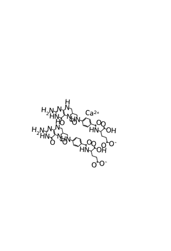 Nc1nc2c(c(=O)[nH]1)N(C=O)C(CNc1ccc(C(=O)NC(CCC(=O)[O-])C(=O)O)cc1)CN2.Nc1nc2c(c(=O)[nH]1)N(C=O)C(CNc1ccc(C(=O)NC(CCC(=O)[O-])C(=O)O)cc1)CN2.[Ca+2]